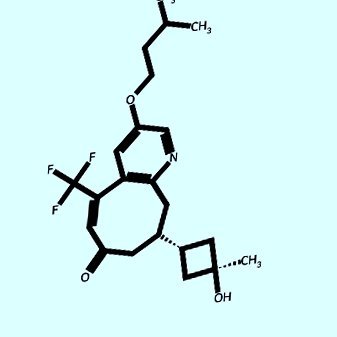 CC(C)CCOc1cnc2c(c1)/C(C(F)(F)F)=C\C(=O)CC([C@H]1C[C@](C)(O)C1)C2